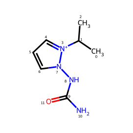 CC(C)[n+]1cccn1NC(N)=O